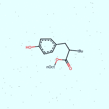 CCCCCCCCOC(=O)C(Cc1ccc(O)cc1)C(C)(C)C